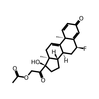 CC(=O)OCC(=O)[C@@]1(O)CC[C@H]2[C@@H]3C[C@H](F)C4=CC(=O)C=C[C@]4(C)C3=CC[C@@]21C